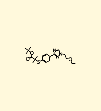 CCOCCn1cnc(-c2ccc(SC(C)(C)C(=O)OC(C)(C)C)cc2)n1